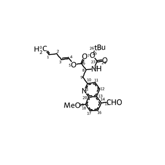 C=CCC=COC(=O)C(Cc1ccc2c(C=O)ccc(OC)c2n1)NC(=O)OC(C)(C)C